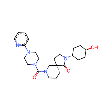 O=C(N1CCN(c2ccccn2)CC1)N1CCC[C@@]2(CCN([C@H]3CC[C@H](O)CC3)C2=O)C1